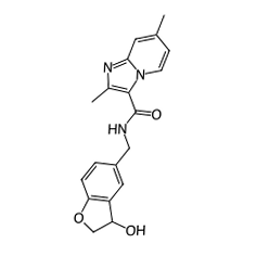 Cc1ccn2c(C(=O)NCc3ccc4c(c3)C(O)CO4)c(C)nc2c1